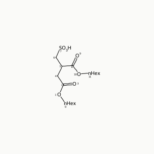 CCCCCCOC(=O)CC(CS(=O)(=O)O)C(=O)OCCCCCC